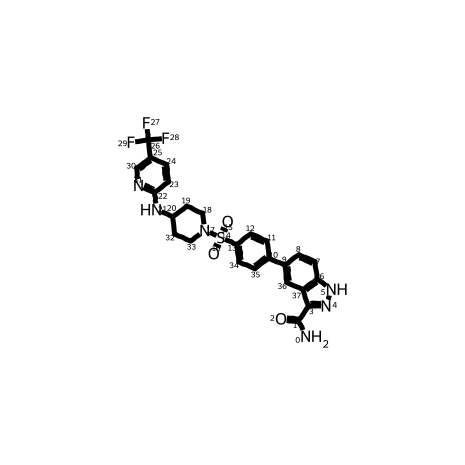 NC(=O)c1n[nH]c2ccc(-c3ccc(S(=O)(=O)N4CCC(Nc5ccc(C(F)(F)F)cn5)CC4)cc3)cc12